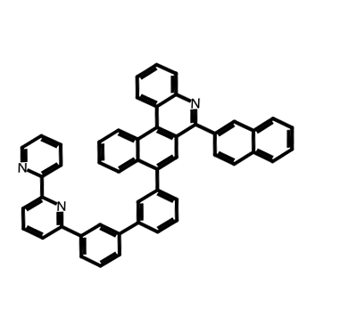 c1ccc(-c2cccc(-c3cccc(-c4cccc(-c5cc6c(-c7ccc8ccccc8c7)nc7ccccc7c6c6ccccc56)c4)c3)n2)nc1